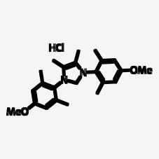 COc1cc(C)c(N2CN(c3c(C)cc(OC)cc3C)C(C)=C2C)c(C)c1.Cl